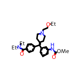 CCOCCN1CCC(=C(c2ccc(C(=O)N(CC)CC)cc2)c2cccc(NC(=O)OC)c2)CC1